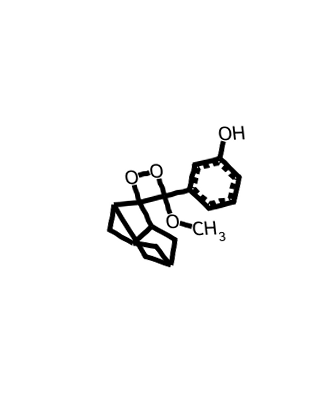 COC1(c2cccc(O)c2)OOC12C1CC3CC(C1)C2C3